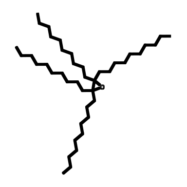 CCCCCCCCCCC1(CCCCCCCCCC)OC1(CCCCCCCCCC)CCCCCCCCCC